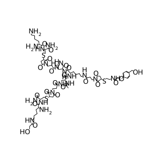 CC(=O)NC(CNC(=O)CCN1C(=O)CC(SCC(NC(=O)C(N)CCCCNC(=O)CCO)C(N)=O)C1=O)C(=O)NC(CCCCNC(=O)CCN1C(=O)CC(SCCNC(=O)COc2ccc(CO)cc2)C1=O)C(=O)NC(CNC(=O)CCN1C(=O)CC(SCC(NC(=O)C(N)CCCCN)C(N)=O)C1=O)C(N)=O